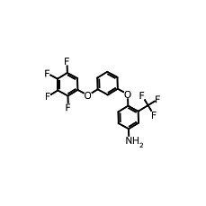 Nc1ccc(Oc2cccc(Oc3cc(F)c(F)c(F)c3F)c2)c(C(F)(F)F)c1